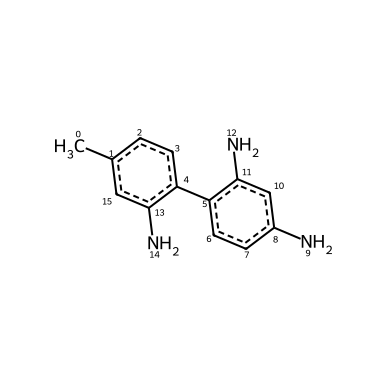 Cc1ccc(-c2ccc(N)cc2N)c(N)c1